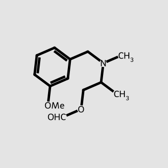 COc1cccc(CN(C)C(C)COC=O)c1